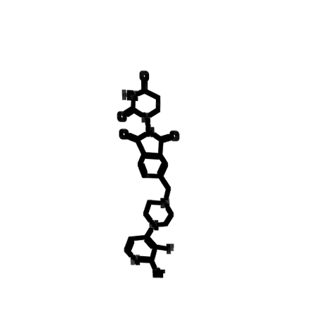 O=C1CCN(N2C(=O)c3ccc(CN4CCN(c5ccnc(Br)c5F)CC4)cc3C2=O)C(=O)N1